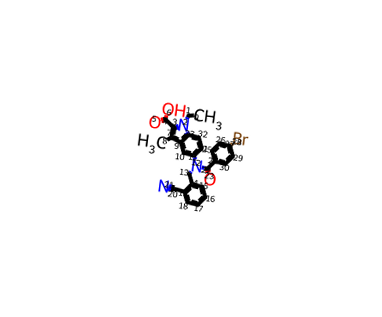 CCn1c(C(=O)O)c(C)c2cc(N(Cc3ccccc3C#N)C(=O)c3ccc(Br)cc3)ccc21